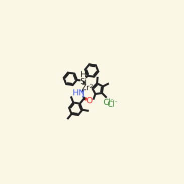 CC1=C(C)C(C)[C]([Zr+2]([NH]C(=O)c2c(C)cc(C)cc2C)[SiH](c2ccccc2)c2ccccc2)=C1C.[Cl-].[Cl-]